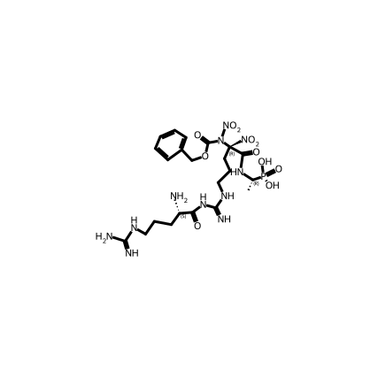 C[C@H](NC(=O)[C@](CCCNC(=N)NC(=O)[C@@H](N)CCCNC(=N)N)(N(C(=O)OCc1ccccc1)[N+](=O)[O-])[N+](=O)[O-])P(=O)(O)O